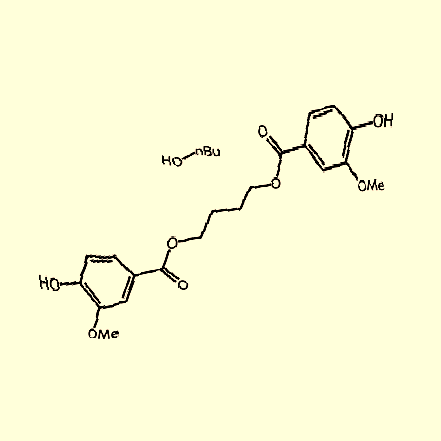 CCCCO.COc1cc(C(=O)OCCCCOC(=O)c2ccc(O)c(OC)c2)ccc1O